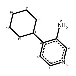 Nc1cnccc1C1CCCCC1